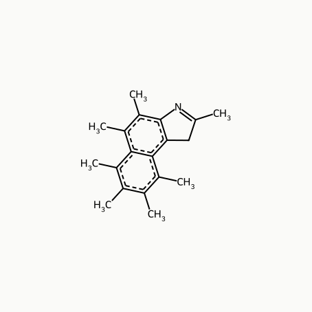 CC1=Nc2c(C)c(C)c3c(C)c(C)c(C)c(C)c3c2C1